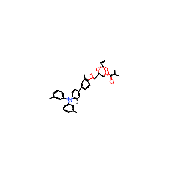 C=CC(=O)OC(COC(=O)C(=C)C)COc1ccc(-c2ccc(N(c3cccc(C)c3)c3cccc(C)c3)c(C)c2)cc1C